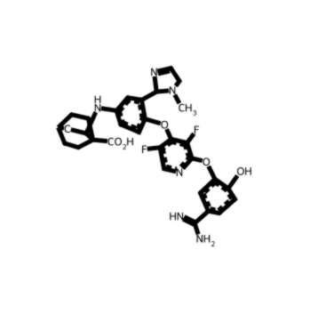 CN1CC=NC1c1cc(NC2CC3CCC2(C(=O)O)CC3)ccc1Oc1c(F)cnc(Oc2cc(C(=N)N)ccc2O)c1F